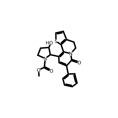 COC(=O)N1CCC(O)C1c1cc(-c2ccccc2)c(=O)n2c1-c1sccc1CC2